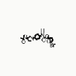 CC(=O)N(C)C1CCN(c2ccc(NC(=O)Oc3ccc(Br)o3)cc2)C1